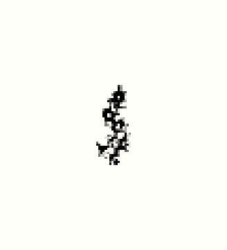 Cc1ccc([C@@]2(C)Oc3cccc(C4CCN(Cc5ncc(/C=C/C(=O)O)n5C[C@@H](C)OC5CC5)CC4)c3O2)c(F)c1